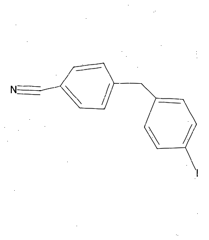 N#Cc1ccc(Cc2ccc(I)cc2)cc1